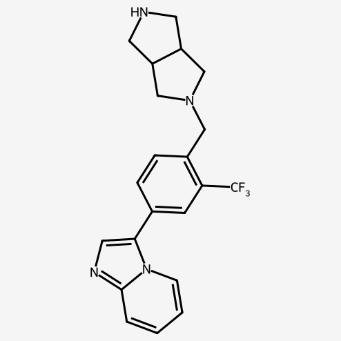 FC(F)(F)c1cc(-c2cnc3ccccn23)ccc1CN1CC2CNCC2C1